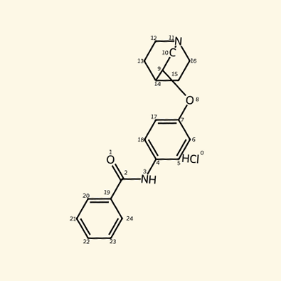 Cl.O=C(Nc1ccc(OC2CN3CCC2CC3)cc1)c1ccccc1